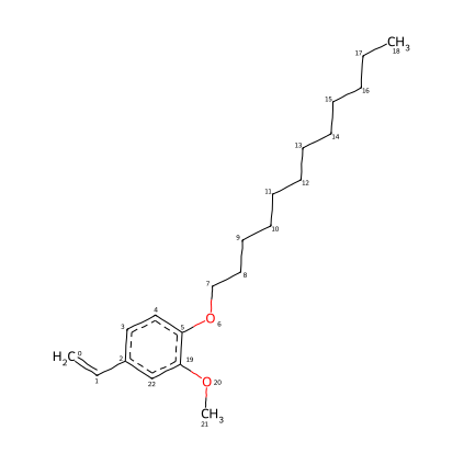 C=Cc1ccc(OCCCCCCCCCCCC)c(OC)c1